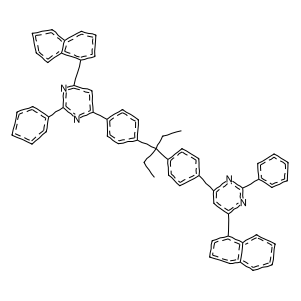 CCC(CC)(c1ccc(-c2cc(-c3cccc4ccccc34)nc(-c3ccccc3)n2)cc1)c1ccc(-c2cc(-c3cccc4ccccc34)nc(-c3ccccc3)n2)cc1